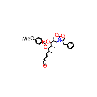 COc1ccc(CO[C@H]([C@@H](C)[C@@H](O)[C@H](C)CN2C(=O)OC[C@H]2Cc2ccccc2)[C@@H](C)C=CC=C=O)cc1